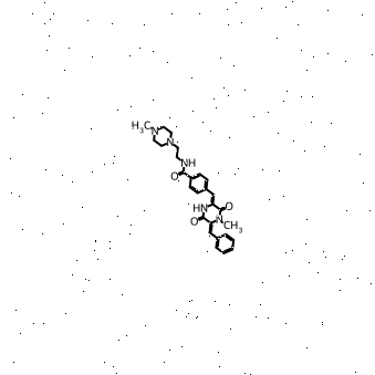 CN1CCN(CCNC(=O)c2ccc(C=c3[nH]c(=O)c(=Cc4ccccc4)n(C)c3=O)cc2)CC1